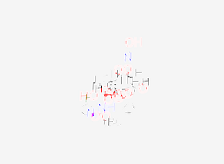 CC(=O)O[C@@]12CO[C@@H]1CC[C@@]1(C)[C@@H]3O[C@H](CN4CC[C@@H]4CO)O[C@@H]3C3=C(C)[C@@H](OC(=O)[C@H](O)[C@@H](NC(=O)OC(C)(C)C)c4ncccc4F)C[C@@](O)([C@@H](OC(=O)c4ccccc4)[C@@H]12)C3(C)C